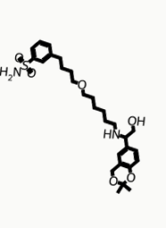 CC1(C)OCc2cc(C(CO)NCCCCCCOCCCCc3cccc(S(N)(=O)=O)c3)ccc2O1